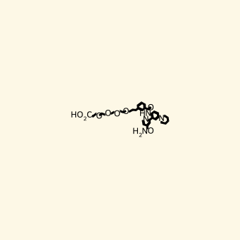 NC(=O)c1ccnc(-c2cc(N3CCCCC3)ccc2NC(=O)c2cccc(CCCOCCOCCOCCOCCC(=O)O)c2)c1